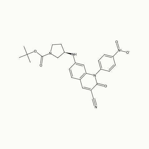 CC(C)(C)OC(=O)N1CC[C@@H](Nc2ccc3cc(C#N)c(=O)n(-c4ccc([N+](=O)[O-])cc4)c3c2)C1